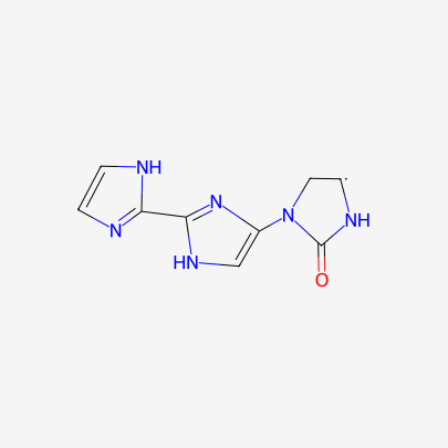 O=C1N[CH]CN1c1c[nH]c(-c2ncc[nH]2)n1